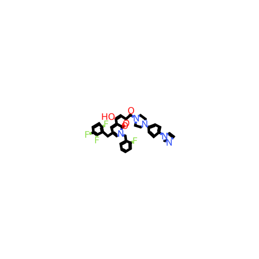 O=C(/C=C(/O)c1cc(Cc2c(F)ccc(F)c2F)cn(Cc2ccccc2F)c1=O)C(=O)N1CCN(c2ccc(-n3ccnc3)cc2)CC1